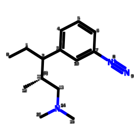 CCC(c1cccc([N+]#N)c1)[C@@H](C)CN(C)C